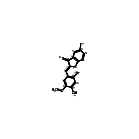 COc1cc(/C=C2\Sc3ncc(F)cc3C2=O)c(Br)cc1O